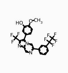 COc1ccc(-c2c(C(F)(F)F)nc3cnc(-c4cccc(C(F)(F)C(F)(F)F)c4)cn23)cc1O